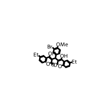 CCc1ccc2oc(=O)c(C(c3ccc(OC)c(Br)c3)c3c(O)c4cc(CC)ccc4oc3=O)c(O)c2c1